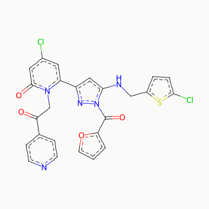 O=C(Cn1c(-c2cc(NCc3ccc(Cl)s3)n(C(=O)c3ccco3)n2)cc(Cl)cc1=O)c1ccncc1